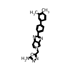 Cc1ccc(-c2ccc(-c3nc4ccn(Cc5nnc(N)o5)cc-4n3)cc2)cc1C